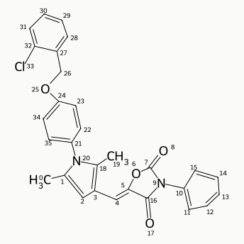 Cc1cc(C=C2OC(=O)N(c3ccccc3)C2=O)c(C)n1-c1ccc(OCc2ccccc2Cl)cc1